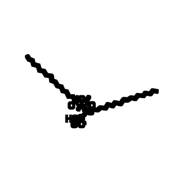 CCCCCCCCC=CCCCCCCCC(=O)OC(C)N(CC(C)O)C(C)OC(=O)CCCCCCCC=CCCCCCCCC.COS(=O)(=O)O